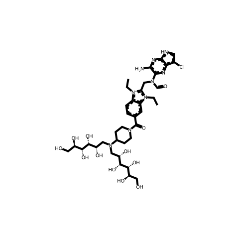 CCn1c(CN(C=O)c2nc3c(Cl)c[nH]c3nc2N)[n+](CC)c2ccc(C(=O)N3CCC(N(C[C@H](O)[C@@H](O)[C@H](O)[C@H](O)CO)C[C@H](O)[C@@H](O)[C@H](O)[C@H](O)CO)CC3)cc21